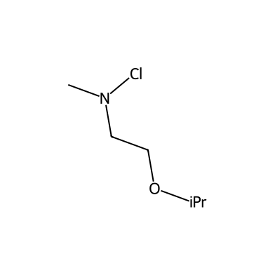 CC(C)OCCN(C)Cl